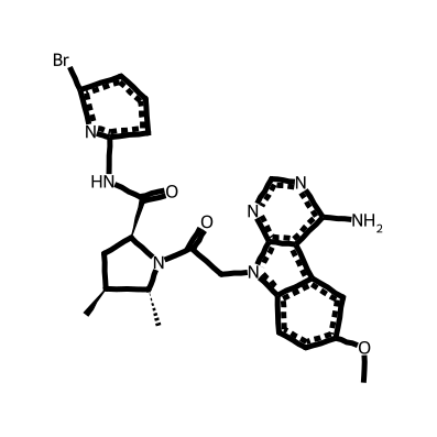 COc1ccc2c(c1)c1c(N)ncnc1n2CC(=O)N1[C@H](C)[C@@H](C)C[C@H]1C(=O)Nc1cccc(Br)n1